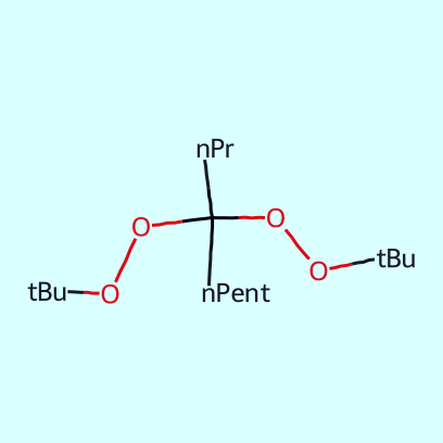 [CH2]CCC(CCCCC)(OOC(C)(C)C)OOC(C)(C)C